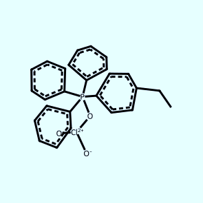 CCc1ccc(P(O[Cl+2]([O-])[O-])(c2ccccc2)(c2ccccc2)c2ccccc2)cc1